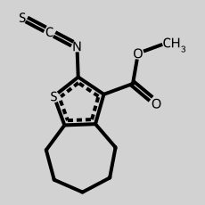 COC(=O)c1c(N=C=S)sc2c1CCCCC2